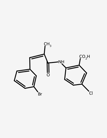 CC(=Cc1cccc(Br)c1)C(=O)Nc1ccc(Cl)cc1C(=O)O